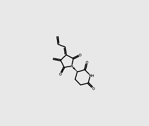 C=C/C=C1\C(=C)C(=O)N([C@@H]2CCC(=O)NC2=O)C1=O